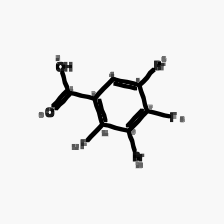 O=C(O)c1cc(Br)c(F)c(Br)c1F